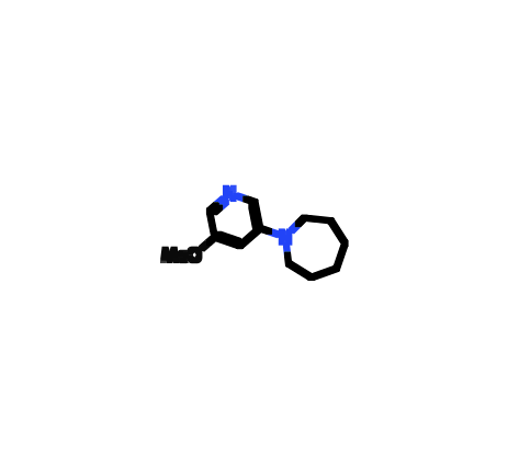 COc1cncc(N2CCCCCC2)c1